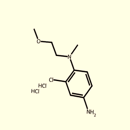 COCCN(C)c1ccc(N)cc1Cl.Cl.Cl